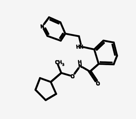 CC(ONC(=O)c1ccccc1NCc1ccncc1)C1CCCC1